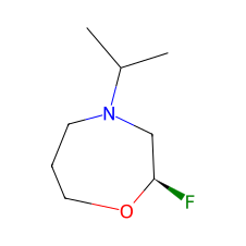 CC(C)N1CCCO[C@H](F)C1